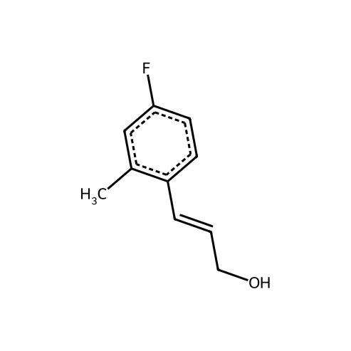 Cc1cc(F)ccc1C=CCO